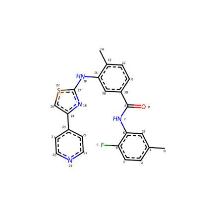 Cc1ccc(F)c(NC(=O)c2ccc(C)c(Nc3nc(-c4ccncc4)cs3)c2)c1